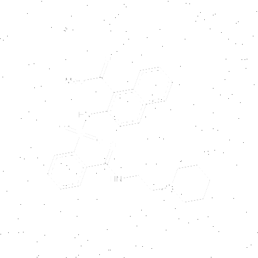 COC(=O)c1c(NS(=O)(=O)c2ccccc2C(=O)NCCN2CCCCC2)ccc2ccccc12